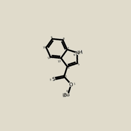 CCC(C)OC(=S)c1c[nH]c2ccccc12